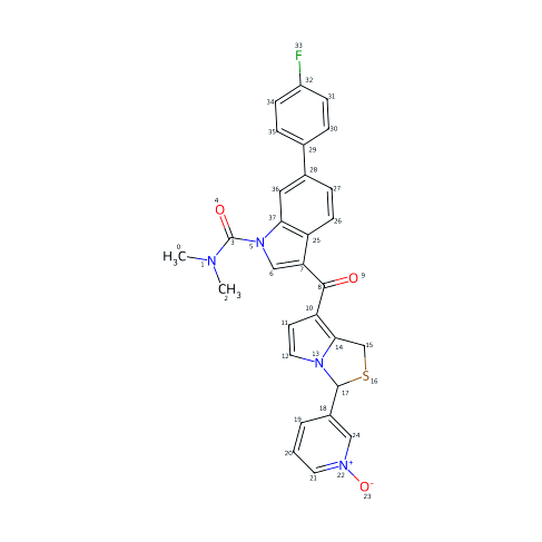 CN(C)C(=O)n1cc(C(=O)c2ccn3c2CSC3c2ccc[n+]([O-])c2)c2ccc(-c3ccc(F)cc3)cc21